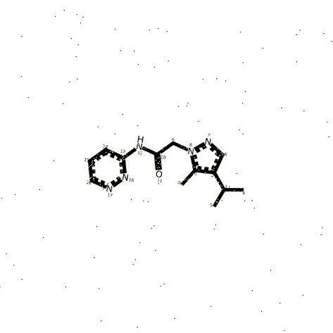 Cc1c(C(C)C)cnn1CC(=O)Nc1cccnn1